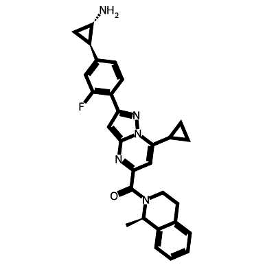 C[C@@H]1c2ccccc2CCN1C(=O)c1cc(C2CC2)n2nc(-c3ccc([C@H]4C[C@@H]4N)cc3F)cc2n1